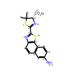 CC1(C)SC(c2nc3ccc4cc(N)ccc4c3s2)=N[C@H]1C(=O)O